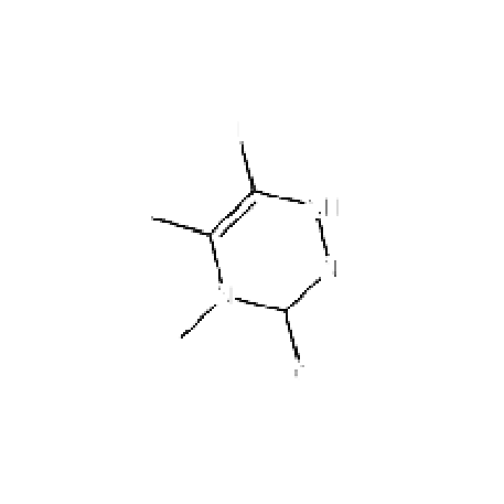 CC1=C(I)NNC(Cl)N1C